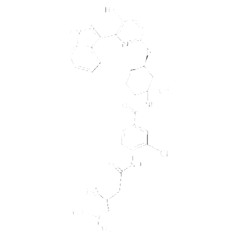 Cc1cnc(N[C@@H]2CCC[C@](C)(NC(=O)c3ccc(NC(=O)CC(O)CN(C)C)c(Cl)c3)C2)nc1-c1n[nH]c2ccccc12